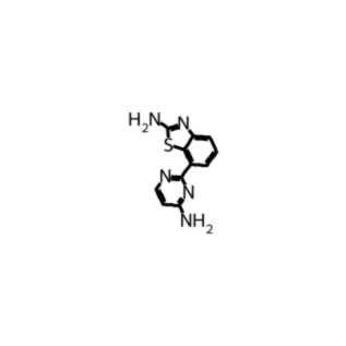 Nc1ccnc(-c2cccc3nc(N)sc23)n1